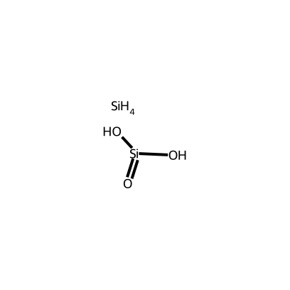 O=[Si](O)O.[SiH4]